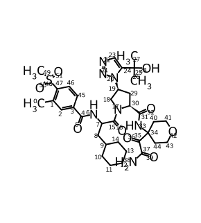 Cc1cc(C(=O)NC(CC2CCCCC2)C(=O)N2C[C@@H](n3nncc3C(C)(C)O)C[C@H]2C(=O)NC2(C(=O)C(N)=O)CCOCC2)ccc1S(C)(=O)=O